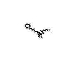 CCCCc1ncc2c(n1)c(CCCCCCN1CCCCCC1)nn2N